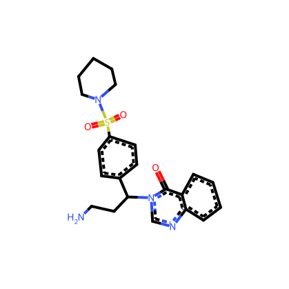 NCCC(c1ccc(S(=O)(=O)N2CCCCC2)cc1)n1cnc2ccccc2c1=O